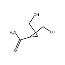 NC(=O)C1CC1(CO)CO